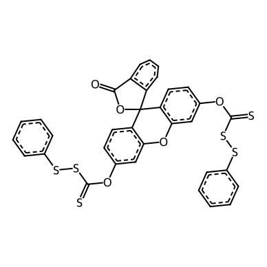 O=C1OC2(c3ccc(OC(=S)SSc4ccccc4)cc3Oc3cc(OC(=S)SSc4ccccc4)ccc32)c2ccccc21